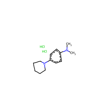 CN(C)c1ccc(N2CCCCC2)cc1.Cl.Cl